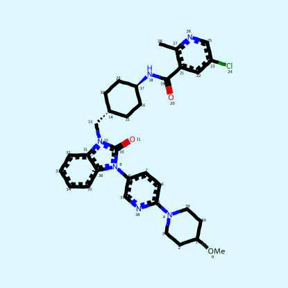 COC1CCN(c2ccc(-n3c(=O)n(C[C@H]4CC[C@H](NC(=O)c5cc(Cl)cnc5C)CC4)c4ccccc43)cn2)CC1